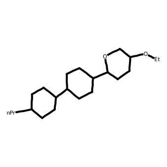 CCCC1CCC(C2CCC(C3CCC(OCC)CO3)CC2)CC1